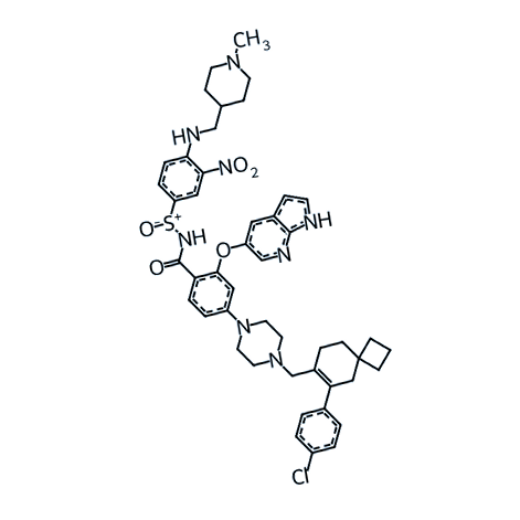 CN1CCC(CNc2ccc([S+]([O-])NC(=O)c3ccc(N4CCN(CC5=C(c6ccc(Cl)cc6)CC6(CCC6)CC5)CC4)cc3Oc3cnc4[nH]ccc4c3)cc2[N+](=O)[O-])CC1